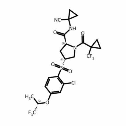 C[C@H](Oc1ccc(S(=O)(=O)[C@@H]2C[C@@H](C(=O)NC3(C#N)CC3)N(C(=O)C3(C(F)(F)F)CC3)C2)c(Cl)c1)C(F)(F)F